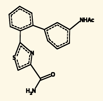 CC(=O)Nc1cccc(-c2ccccc2-c2nc(C(N)=O)cs2)c1